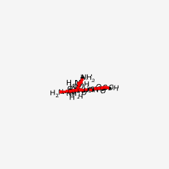 NCCCCC(N)C(=O)NCCN(CCNCC(=O)NCCSSCCNC(=O)CCC(=O)OCCCO)CCNC(=O)C(N)CCCCN